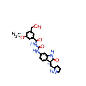 COc1cc(CO)cc(C(=O)NC(=O)Nc2ccc3c(c2)NC(=O)/C3=C\c2ccc[nH]2)c1